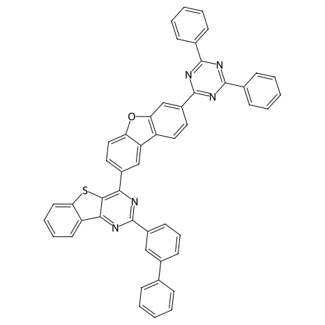 c1ccc(-c2cccc(-c3nc(-c4ccc5oc6cc(-c7nc(-c8ccccc8)nc(-c8ccccc8)n7)ccc6c5c4)c4sc5ccccc5c4n3)c2)cc1